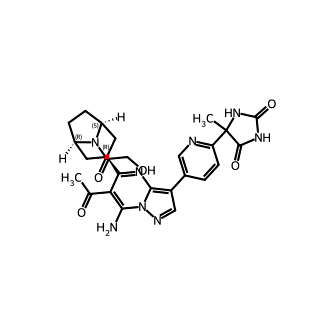 CC(=O)c1c([C@H]2C[C@H]3CC[C@@H](C2)N3C(=O)CO)nc2c(-c3ccc(C4(C)NC(=O)NC4=O)nc3)cnn2c1N